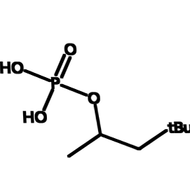 CC(CC(C)(C)C)OP(=O)(O)O